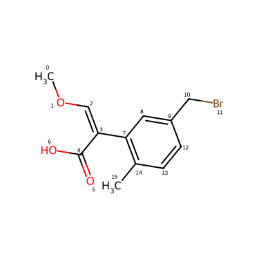 CO/C=C(\C(=O)O)c1cc(CBr)ccc1C